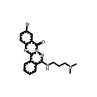 CN(C)CCCNc1nn2c(=O)c3cc(Br)ccc3nc2c2ccccc12